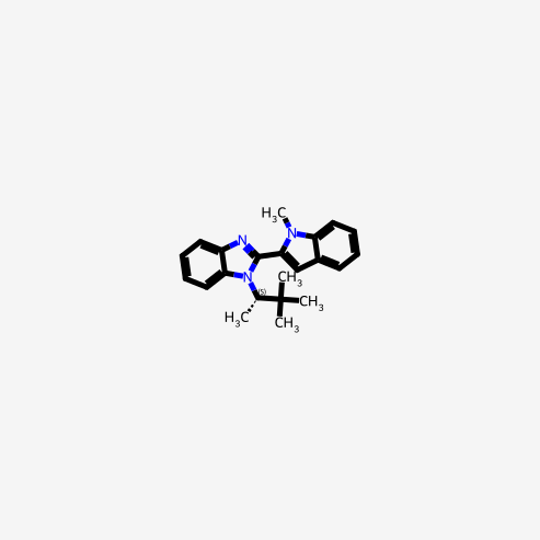 C[C@H](n1c(-c2cc3ccccc3n2C)nc2ccccc21)C(C)(C)C